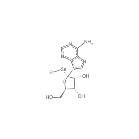 CC[Se][C@@]1(n2cnc3c(N)ncnc32)O[C@H](CO)[C@@H](O)[C@H]1O